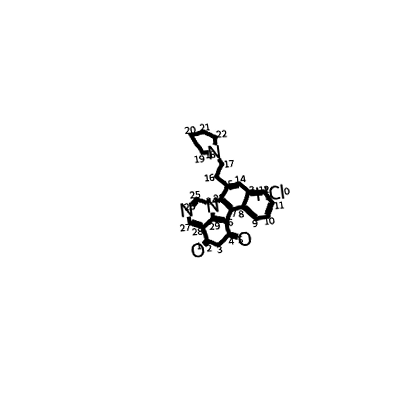 Cl.O=C1CC(=O)c2c3c4ccccc4cc(CCN4CCCC4)c3n3cncc1c23